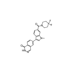 Cn1cc(-c2ccc3c(=O)[nH]ncc3c2)c2ccc(C(=O)N3CCC(F)(F)CC3)cc21